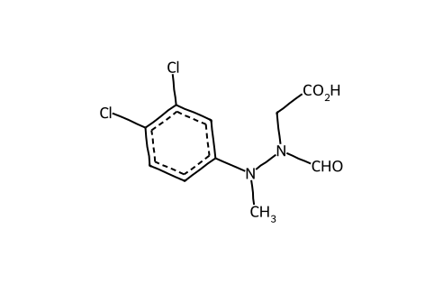 CN(c1ccc(Cl)c(Cl)c1)N(C=O)CC(=O)O